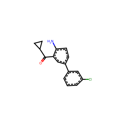 Nc1ccc(-c2cccc(Cl)c2)cc1C(=O)C1CC1